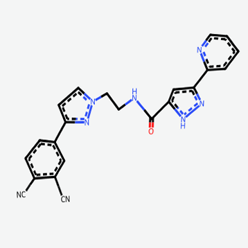 N#Cc1ccc(-c2ccn(CCNC(=O)c3cc(-c4ccccn4)n[nH]3)n2)cc1C#N